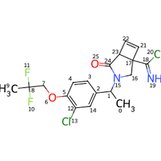 CC(c1ccc(OCC(C)(F)F)c(Cl)c1)N1CC2(C(=N)Cl)C=CC2C1=O